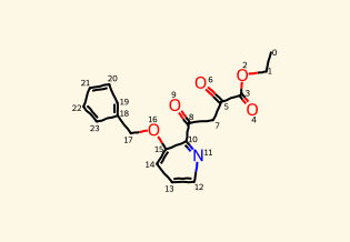 CCOC(=O)C(=O)CC(=O)c1ncccc1OCc1ccccc1